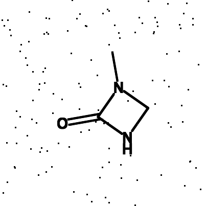 CN1CNC1=O